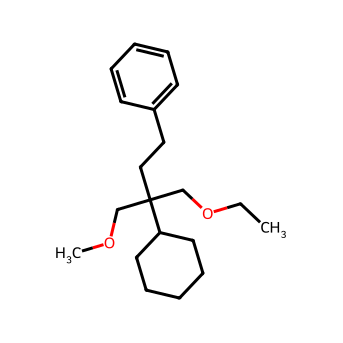 CCOCC(CCc1ccccc1)(COC)C1CCCCC1